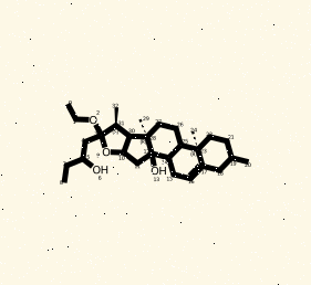 CCOC1(CC(O)CC)OC2CC3(O)C4CC=C5CC(C)CC[C@]5(C)C4CC[C@]3(C)C2[C@@H]1C